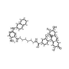 O=C(NCCCCCCNc1nc(Nc2ccc3ccccc3c2)ncc1[N+](=O)[O-])c1ccc(-c2c3cc(F)c(=O)cc-3oc3cc(O)c(F)cc23)c(C(=O)O)c1